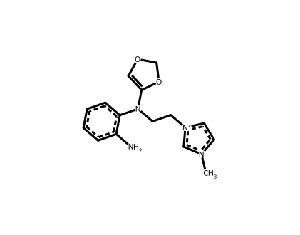 Cn1cc[n+](CCN(C2=COCO2)c2ccccc2N)c1